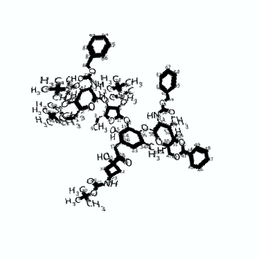 CC[C@@H]1O[C@H](O[C@@H]2[C@@H](CC)OC(O[C@@H]3[C@@H](O)[C@H](CC(=O)C4(O)CC(NC(=O)OC(C)(C)C)C4)C[C@H](C)[C@H]3O[C@H]3O[C@@H]4COC(c5ccccc5)O[C@H]4[C@H](C)[C@H]3NC(=O)OCc3ccccc3)[C@@H]2O[Si](C)(C)C(C)(C)C)[C@H](NC(=O)OCc2ccccc2)[C@@H](O[Si](C)(C)C(C)(C)C)[C@@H]1O[Si](C)(C)C(C)(C)C